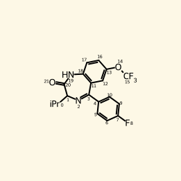 CC(C)C1N=C(c2ccc(F)cc2)c2cc(OC(F)(F)F)ccc2NC1=O